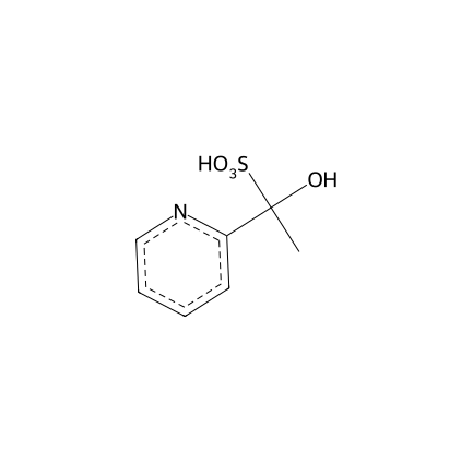 CC(O)(c1ccccn1)S(=O)(=O)O